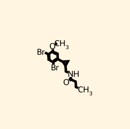 CCCC(=O)NCC1CC1c1cc(OC)c(Br)cc1Br